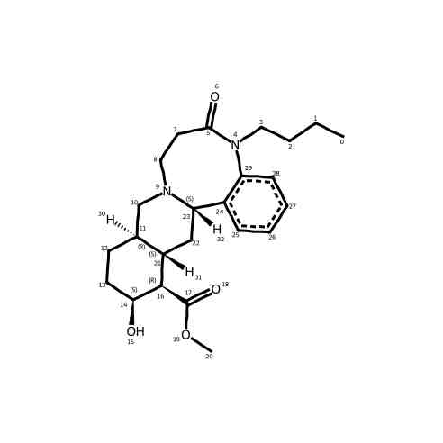 CCCCN1C(=O)CCN2C[C@@H]3CC[C@H](O)[C@H](C(=O)OC)[C@H]3C[C@H]2c2ccccc21